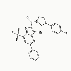 O=C(c1nc2c(C(F)(F)F)cc(-c3ccccc3)nn2c1Br)N1CCC(c2ccc(F)cc2)C1